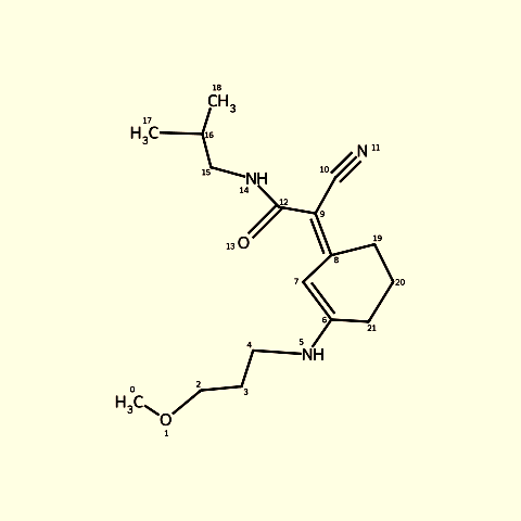 COCCCNC1=C/C(=C(/C#N)C(=O)NCC(C)C)CCC1